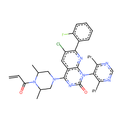 C=CC(=O)N1C(C)CN(c2nc(=O)n(-c3c(C(C)C)ncnc3C(C)C)c3nc(-c4ccccc4F)c(Cl)cc23)CC1C